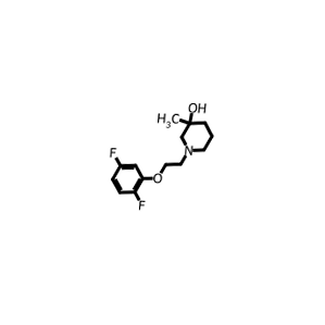 CC1(O)CCCN(CCOc2cc(F)ccc2F)C1